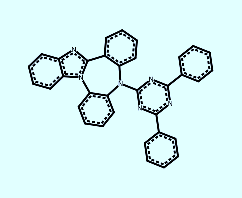 c1ccc(-c2nc(-c3ccccc3)nc(N3c4ccccc4-c4nc5ccccc5n4-c4ccccc43)n2)cc1